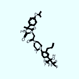 CCCc1cc(C(O)(C(F)(F)F)C(F)(F)F)ccc1N1CCN(C(=O)CN2C(=O)NC(C)(c3ccc(OC(C)C)cc3)C2=O)C[C@H]1C